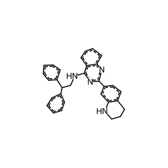 c1ccc(C(CNc2nc(-c3ccc4c(c3)NCCC4)nc3ccccc23)c2ccccc2)cc1